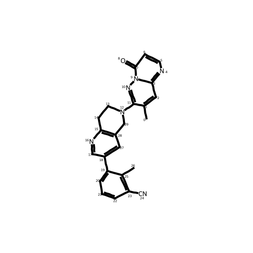 Cc1cc2nccc(=O)n2nc1N1CCc2ncc(-c3cccc(C#N)c3C)cc2C1